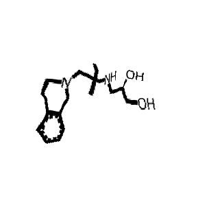 CC(C)(CN1CCc2ccccc2C1)NC[C@@H](O)CO